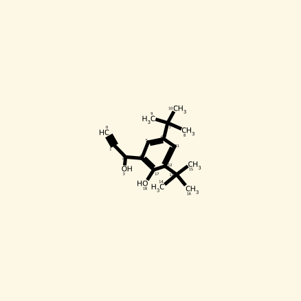 C#CC(O)c1cc(C(C)(C)C)cc(C(C)(C)C)c1O